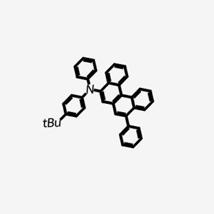 CC(C)(C)c1ccc(N(c2ccccc2)c2cc3cc(-c4ccccc4)c4ccccc4c3c3ccccc23)cc1